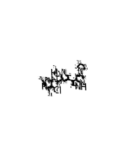 COc1ncc(-c2c[nH]c3ncc(N4CCCC4)cc23)cc1[C@H](C)Nc1nc(C)nc(C)c1Cl